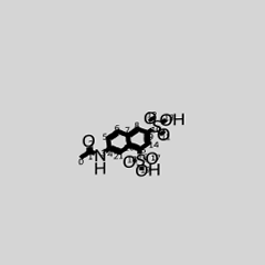 CC(=O)Nc1ccc2cc(S(=O)(=O)O)cc(S(=O)(=O)O)c2c1